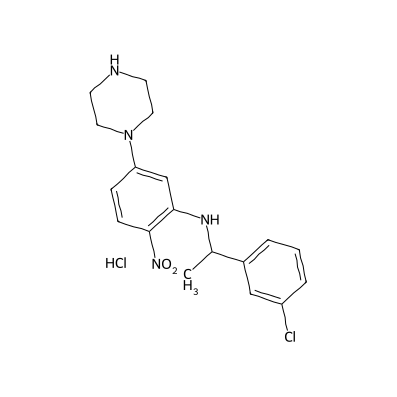 CC(Nc1cc(N2CCNCC2)ccc1[N+](=O)[O-])c1cccc(Cl)c1.Cl